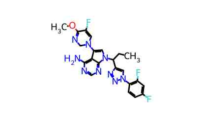 CCC(c1cn(-c2ccc(F)cc2F)nn1)n1cc(N2C=C(F)C(OC)=NC2)c2c(N)ncnc21